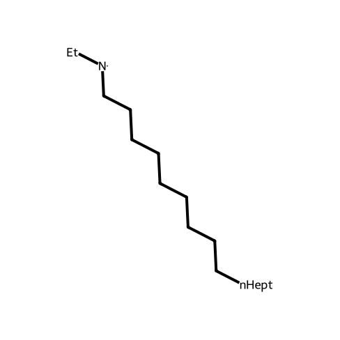 CCCCCCCCCCCCCCCC[N]CC